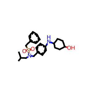 CC(C)CN(Cc1ccc(NC2CCC(O)CC2)cc1)S(=O)(=O)Cc1ccccc1